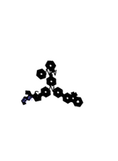 C=C/C(=C\C=C/C)c1ccc(-c2ccc(N(c3ccc(-c4ccc5c(c4)C(C)(C)C4=C5C=CCC4)cc3)c3ccc(-c4nc5ccccc5n4-c4ccccc4)cc3)cc2)s1